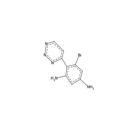 Nc1cc(N)c(-c2ccnnn2)c(Br)c1